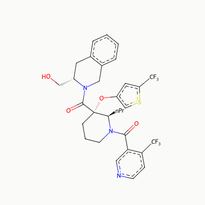 CCC[C@H]1N(C(=O)c2cnccc2C(F)(F)F)CCC[C@@]1(Oc1csc(C(F)(F)F)c1)C(=O)N1Cc2ccccc2C[C@H]1CO